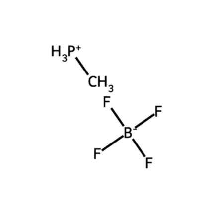 C[PH3+].F[B-](F)(F)F